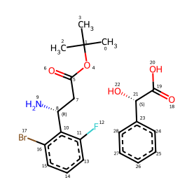 CC(C)(C)OC(=O)C[C@@H](N)c1c(F)cccc1Br.O=C(O)[C@@H](O)c1ccccc1